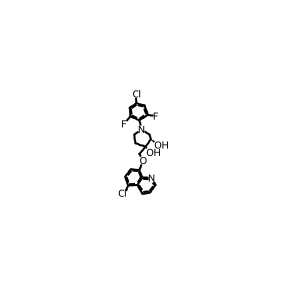 O[C@@H]1CN(c2c(F)cc(Cl)cc2F)CC[C@@]1(O)COc1ccc(Cl)c2cccnc12